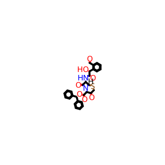 O=Cc1ccccc1C(O)C(=O)N[C@@H]1C(=O)N2C(C(=O)OC(c3ccccc3)c3ccccc3)C(=O)CS[C@@H]12